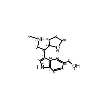 CNCC(c1c[nH]c2ccc(CO)cc12)C1CCCO1